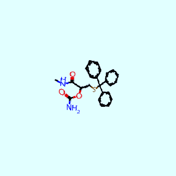 CNC(=O)C(CSC(c1ccccc1)(c1ccccc1)c1ccccc1)OC(N)=O